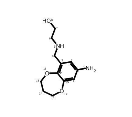 Nc1cc(CNCCO)c2c(c1)OCCCO2